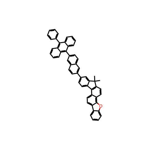 CC1(C)c2cc(-c3ccc4cc(-c5c6ccccc6c(-c6ccccc6)c6ccccc56)ccc4c3)ccc2-c2c1ccc1c2ccc2c3ccccc3oc12